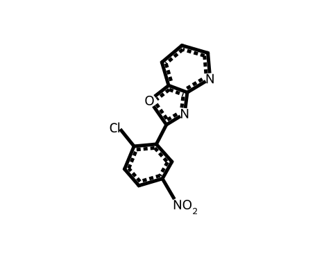 O=[N+]([O-])c1ccc(Cl)c(-c2nc3ncccc3o2)c1